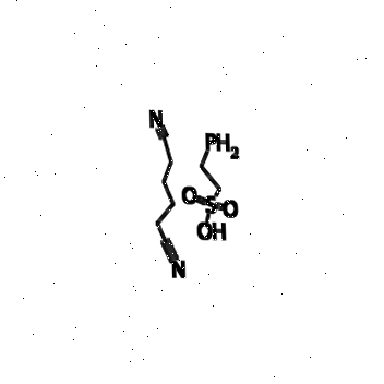 N#CCCCCC#N.O=S(=O)(O)CCP